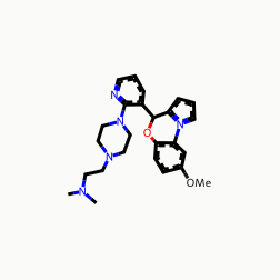 COc1ccc2c(c1)-n1cccc1C(c1cccnc1N1CCN(CCN(C)C)CC1)O2